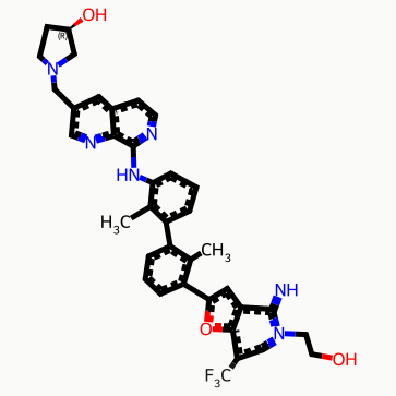 Cc1c(Nc2nccc3cc(CN4CC[C@@H](O)C4)cnc23)cccc1-c1cccc(-c2cc3c(=N)n(CCO)cc(C(F)(F)F)c3o2)c1C